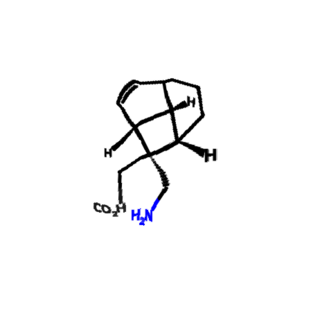 NC[C@]1(CC(=O)O)[C@@H]2C=CC3CC[C@H]1[C@@H]32